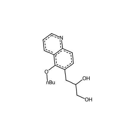 CCCCOc1c(CC(O)CO)ccc2ncccc12